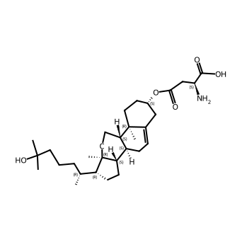 C[C@H](CCCC(C)(C)O)[C@H]1CC[C@H]2[C@@H]3CC=C4C[C@@H](OC(=O)C[C@H](N)C(=O)O)CC[C@]4(C)[C@H]3CC[C@]12C